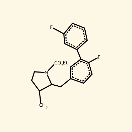 CCOC(=O)N1CCC(C)C1Cc1ccc(F)c(-c2cccc(F)c2)c1